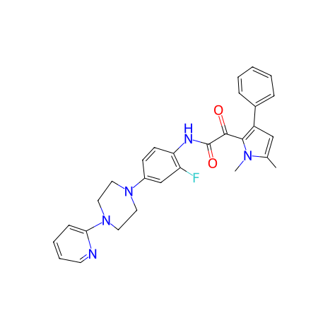 Cc1cc(-c2ccccc2)c(C(=O)C(=O)Nc2ccc(N3CCN(c4ccccn4)CC3)cc2F)n1C